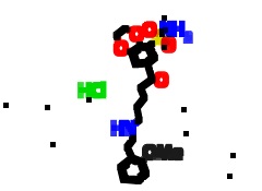 COc1ccccc1CCNCCCCC(=O)c1cc2c(c(S(N)(=O)=O)c1)OCCO2.Cl